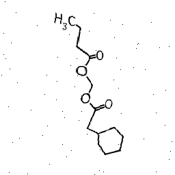 CCCC(=O)OCOC(=O)CC1CCCCC1